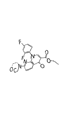 CCOC(=O)c1cn(-c2ccc(F)cc2F)c2nc(N3CCOCC3)ccc2c1=O